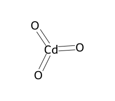 [O]=[Cd](=[O])=[O]